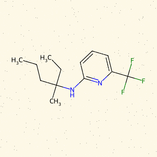 CCCC(C)(CC)Nc1cccc(C(F)(F)F)n1